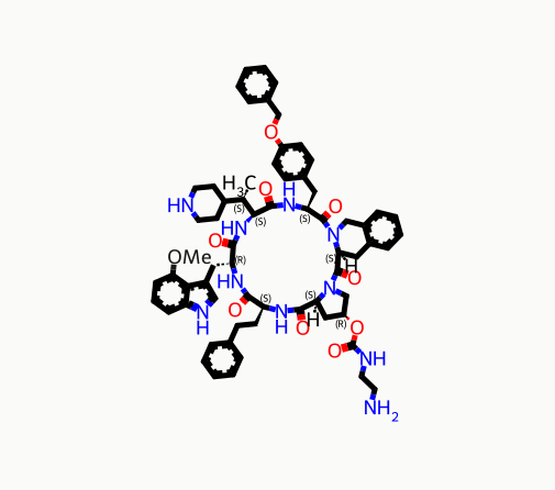 COc1cccc2[nH]cc(C[C@H]3NC(=O)[C@H](CCc4ccccc4)NC(=O)[C@@H]4C[C@@H](OC(=O)NCCN)CN4C(=O)[C@@H]4Cc5ccccc5CN4C(=O)[C@H](Cc4ccc(OCc5ccccc5)cc4)NC(=O)[C@H]([C@@H](C)C4CCNCC4)NC3=O)c12